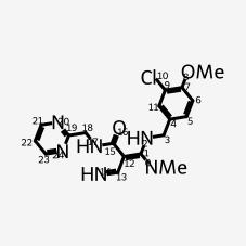 CN/C(NCc1ccc(OC)c(Cl)c1)=C(\C=N)C(=O)NCc1ncccn1